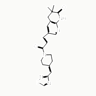 CC1(C)Cc2cc(/C=C/C(=O)N3CCC(=Cc4ncsn4)CC3)cnc2NC1=O